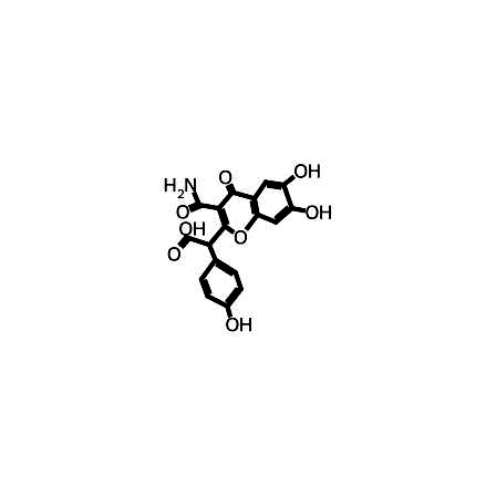 NC(=O)c1c(C(C(=O)O)c2ccc(O)cc2)oc2cc(O)c(O)cc2c1=O